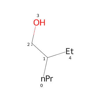 CCCC([CH]O)CC